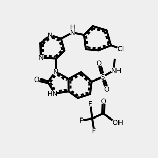 CNS(=O)(=O)c1ccc2[nH]c(=O)n(-c3cc(Nc4ccc(Cl)cc4)ncn3)c2c1.O=C(O)C(F)(F)F